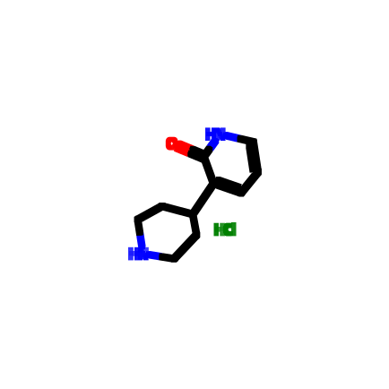 Cl.O=c1[nH]cccc1C1CCNCC1